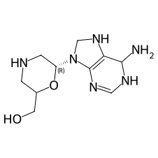 NC1NC=NC2=C1NCN2[C@H]1CNCC(CO)O1